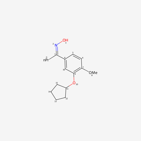 CCC/C(=N/O)c1ccc(OC)c(OC2CCCC2)c1